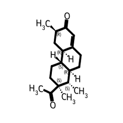 CC(=O)[C@@]1(C)CC[C@H]2[C@@H](CCC3=CC(=O)[C@H](C)C[C@@H]32)[C@@H]1C